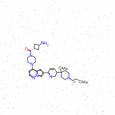 COC[C@H](C)N1CCC(OC)(C2C=CC(c3cc4c(N5CCN(C(=O)[C@H]6C[C@H](N)C6)CC5)ccnn4c3)=NC2)CC1